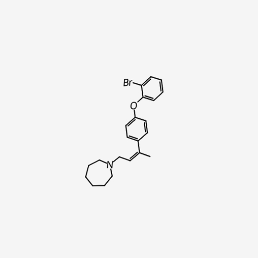 CC(=CCN1CCCCCC1)c1ccc(Oc2ccccc2Br)cc1